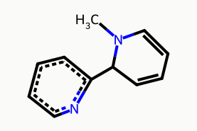 CN1C=CC=CC1c1ccccn1